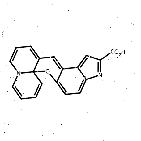 O=C(O)C1=Nc2ccc3c(c2=C1)=CC1=CC=CN2C=CC=CC12O3